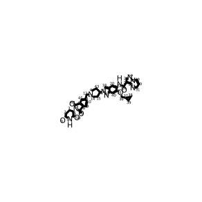 O=C1CCC(N2C(=O)c3ccc(CN4CCC(n5cc6cc(NC(=O)c7cnn8cccnc78)c(OCC7CC7)cc6n5)CC4)cc3C2=O)C(=O)N1